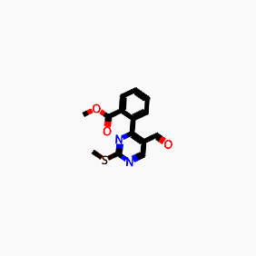 COC(=O)c1ccccc1-c1nc(SC)ncc1C=O